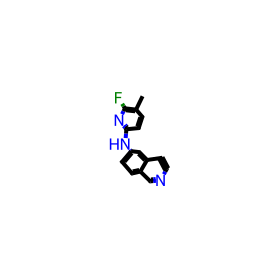 Cc1ccc(Nc2ccc3cnc#cc3c2)nc1F